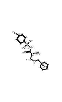 C[C@@H](OCC12CCC(CC1)OC2)[C@H](N)C(=O)NS(=O)(=O)c1ccc(F)cc1